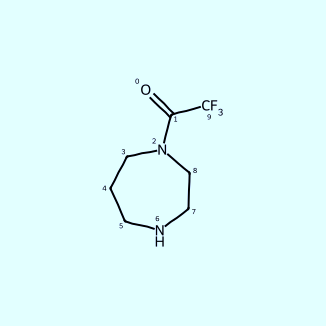 O=C(N1CCCNCC1)C(F)(F)F